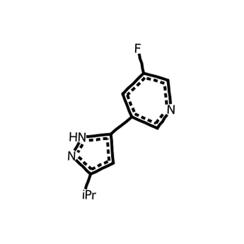 CC(C)c1cc(-c2cncc(F)c2)[nH]n1